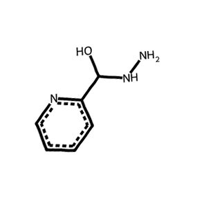 NNC(O)c1ccccn1